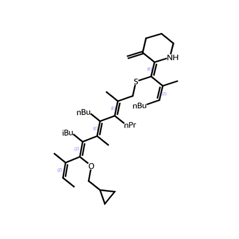 C=C1CCCN/C1=C(SC/C(C)=C(CCC)/C(CCCC)=C(C)/C(=C(OCC1CC1)/C(C)=C\C)C(C)CC)\C(C)=C/CCCC